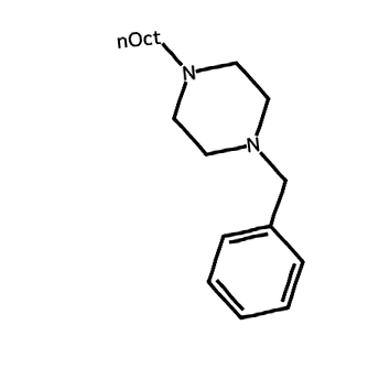 CCCCCCCCN1CCN(Cc2ccccc2)CC1